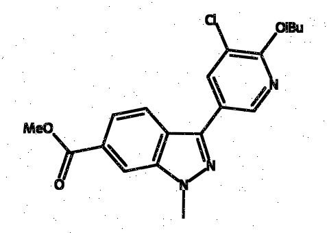 COC(=O)c1ccc2c(-c3cnc(OCC(C)C)c(Cl)c3)nn(C)c2c1